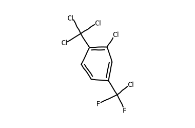 FC(F)(Cl)c1ccc(C(Cl)(Cl)Cl)c(Cl)c1